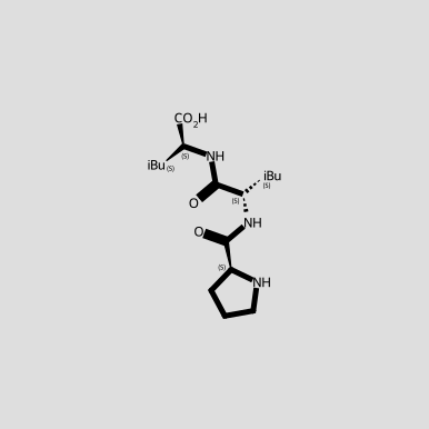 CC[C@H](C)[C@H](NC(=O)[C@@H](NC(=O)[C@@H]1CCCN1)[C@@H](C)CC)C(=O)O